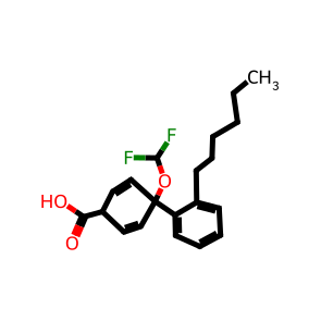 CCCCCCc1ccccc1C1(OC(F)F)C=CC(C(=O)O)C=C1